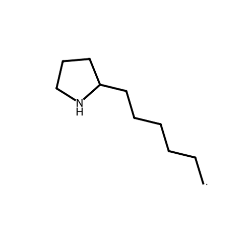 [CH2]CCCCCC1CCCN1